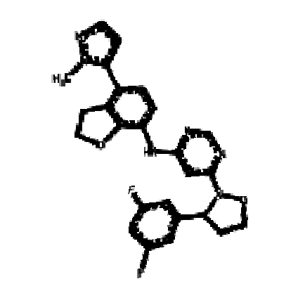 Cn1nccc1-c1ccc(Nc2cc(N3OCCC3c3cc(F)cc(F)c3)ncn2)c2c1CCO2